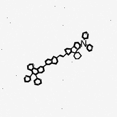 C(=C\c1ccc2cc(-c3ccc4c(-c5ccccc5)c(-c5ccccc5)c5ccccc5c4c3)ccc2c1)/c1ccc2c(c1)C1(CCCCC1)c1cc(N(c3ccccc3)c3ccccc3)ccc1-2